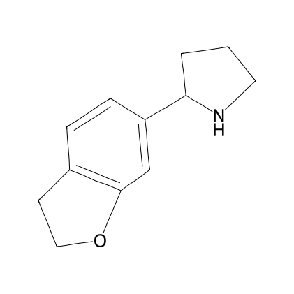 c1cc2c(cc1C1CCCN1)OCC2